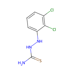 NC(=S)NNc1cccc(Cl)c1Cl